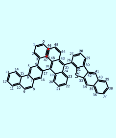 c1ccc(-c2cc3c(ccc4ccccc43)cc2-c2c3ccccc3c(-c3cccc4c3sc3cc5ccccc5cc34)c3ccccc23)cc1